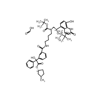 CN1CC[C@@H](OC(=O)C(O)(c2ccccc2)c2cccc(C(=O)NCCCCN(C[C@H](O[Si](C)(C)C(C)(C)C)c3ccc(O)c4[nH]c(=O)ccc34)C(=O)OC(C)(C)C)c2)C1.O=CO